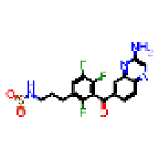 Nc1cnc2ccc(C(=O)c3c(F)c(F)cc(CCCN[SH](=O)=O)c3F)cc2n1